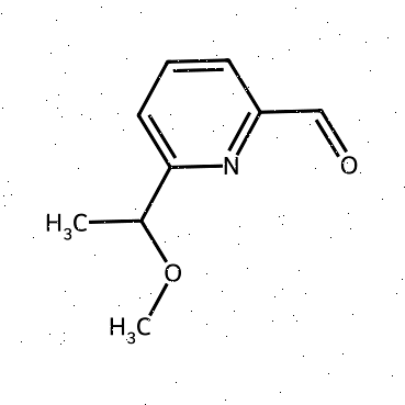 COC(C)c1cccc(C=O)n1